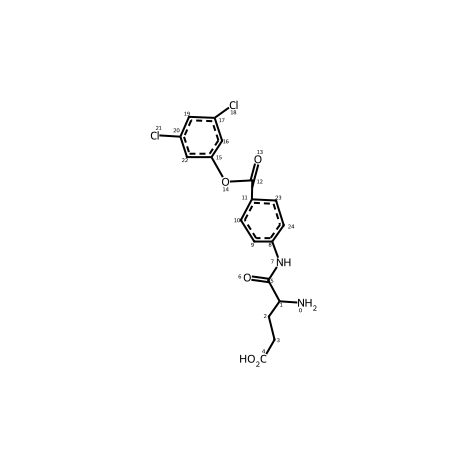 NC(CCC(=O)O)C(=O)Nc1ccc(C(=O)Oc2cc(Cl)cc(Cl)c2)cc1